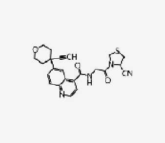 C#CC1(c2ccc3nccc(C(=O)NCC(=O)N4CSC[C@H]4C#N)c3c2)CCOCC1